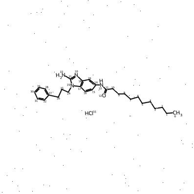 CCCCCCCCCCCC(=O)Nc1ccc2c(c1)nc(N)n2CCCc1ccccc1.Cl